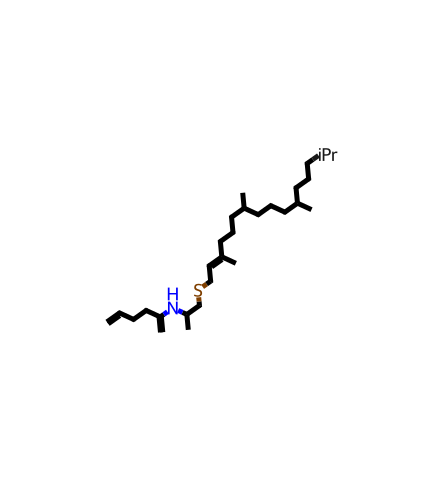 C=CCCC(=C)NC(C)CSC/C=C(\C)CCCC(C)CCCC(C)CCCC(C)C